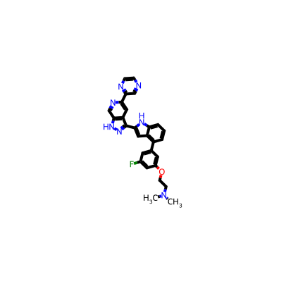 CN(C)CCOc1cc(F)cc(-c2cccc3[nH]c(-c4n[nH]c5cnc(-c6cnccn6)cc45)cc23)c1